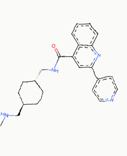 CNC[C@H]1CC[C@H](CNC(=O)c2cc(-c3ccncc3)nc3ccccc23)CC1